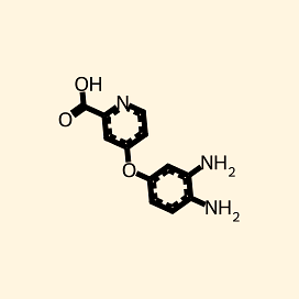 Nc1ccc(Oc2ccnc(C(=O)O)c2)cc1N